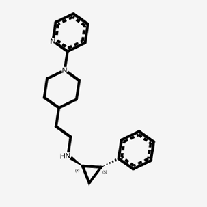 c1ccc([C@@H]2C[C@H]2NCCC2CCN(c3ccccn3)CC2)cc1